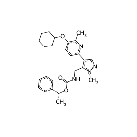 Cc1nc(-c2cnn(C)c2CNC(=O)O[C@H](C)c2ccccc2)ccc1OC1CCCCC1